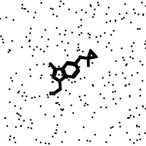 Cc1nn(CO)c2ccc(OC3(C)CC3)cc12